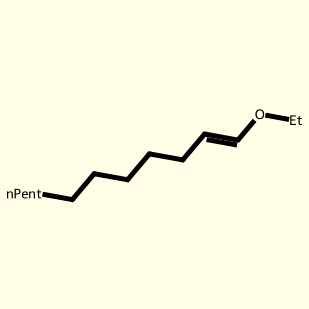 CCCCCCCCCC/C=C/OCC